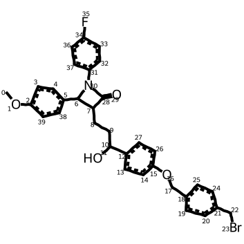 COc1ccc(C2C(CCC(O)c3ccc(OCc4ccc(CBr)cc4)cc3)C(=O)N2c2ccc(F)cc2)cc1